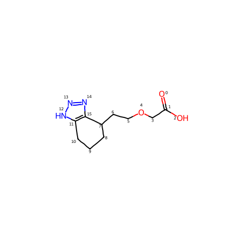 O=C(O)COCCC1CCCc2[nH]nnc21